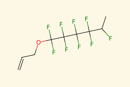 C=CCOC(F)(F)C(F)(F)C(F)(F)C(F)(F)C(C)F